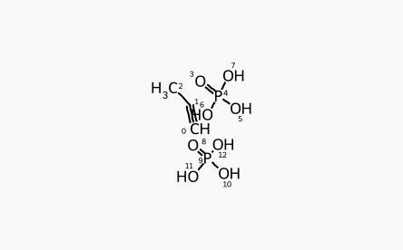 C#CC.O=P(O)(O)O.O=P(O)(O)O